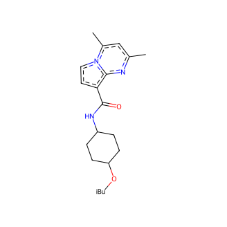 CCC(C)OC1CCC(NC(=O)c2ccn3c(C)cc(C)nc23)CC1